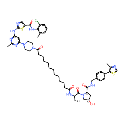 Cc1nc(Nc2ncc(C(=O)Nc3c(C)cccc3Cl)s2)cc(N2CCN(C(=O)CCCCCCCCCCCC(=O)NC(C(=O)N3C[C@H](O)C[C@H]3C(=O)NCc3ccc(-c4scnc4C)cc3)C(C)(C)C)CC2)n1